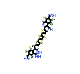 N#Cc1c(-c2cc3sc4c(sc5c6sc(/C=C(\C=N)c7c(F)c(F)c(C=N)c(F)c7C=N)cc6sc54)c3s2)ncc2c(F)c(C=N)c(F)c(F)c12